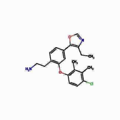 CCc1ncoc1-c1ccc(CCN)c(Oc2ccc(Cl)c(C)c2C)c1